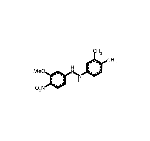 COc1cc(NNc2ccc(C)c(C)c2)ccc1[N+](=O)[O-]